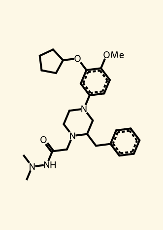 COc1ccc(N2CCN(CC(=O)NN(C)C)C(Cc3ccccc3)C2)cc1OC1CCCC1